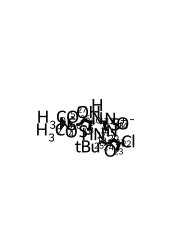 CN(C)S(=O)(=O)c1scc(Nc2n[s+]([O-])nc2N[C@@H](c2cc(Cl)co2)C(C)(C)C)c1O